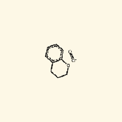 [O]=[Cr].c1ccc2c(c1)CCCO2